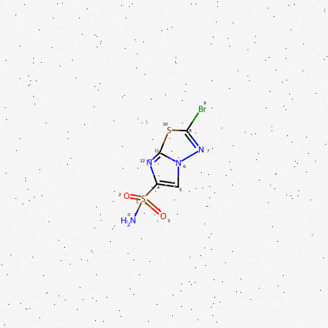 NS(=O)(=O)c1cn2nc(Br)sc2n1